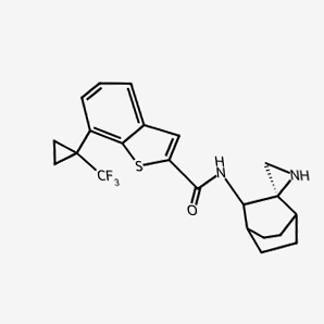 O=C(NC1C2CCC(CC2)[C@@]12CN2)c1cc2cccc(C3(C(F)(F)F)CC3)c2s1